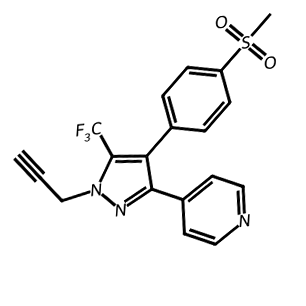 C#CCn1nc(-c2ccncc2)c(-c2ccc(S(C)(=O)=O)cc2)c1C(F)(F)F